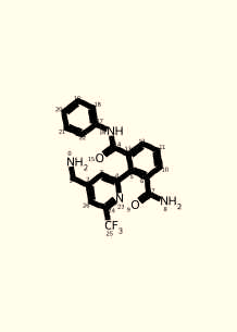 NCc1cc(-c2c(C(N)=O)cccc2C(=O)Nc2ccccc2)nc(C(F)(F)F)c1